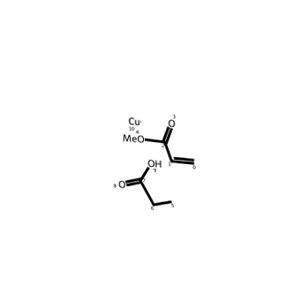 C=CC(=O)OC.CCC(=O)O.[Cu]